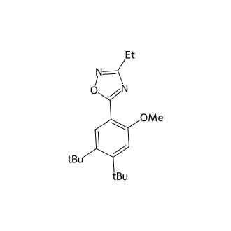 CCc1noc(-c2cc(C(C)(C)C)c(C(C)(C)C)cc2OC)n1